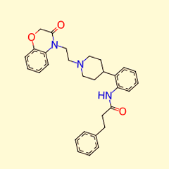 O=C(CCc1ccccc1)Nc1ccccc1C1CCN(CCN2C(=O)COc3ccccc32)CC1